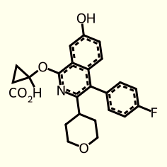 O=C(O)C1(Oc2nc(C3CCOCC3)c(-c3ccc(F)cc3)c3ccc(O)cc23)CC1